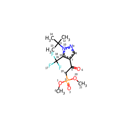 COP(=O)(CC(=O)c1cnn(C(C)(C)C)c1C(F)(F)F)OC